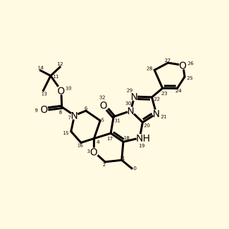 CC1COC2(CCN(C(=O)OC(C)(C)C)CC2)c2c1[nH]c1nc(C3=CCOCC3)nn1c2=O